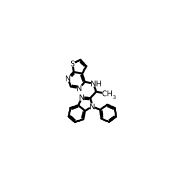 CC(Nc1ncnc2sccc12)c1nc2ccccc2n1-c1ccccc1